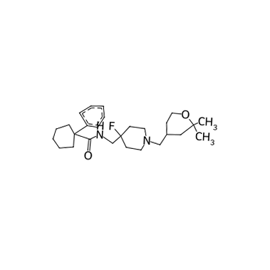 CC1(C)CC(CN2CCC(F)(CNC(=O)C3(c4ccccc4)CCCCC3)CC2)CCO1